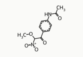 COC(C(=O)c1ccc(NC(C)=O)cc1)[N+](=O)[O-]